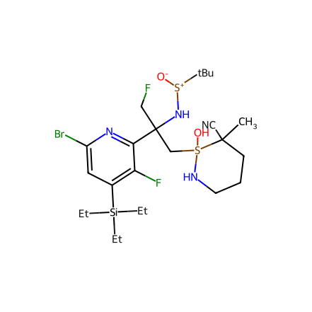 CC[Si](CC)(CC)c1cc(Br)nc(C(CF)(CS2(O)NCCCC2(C)C#N)N[S+]([O-])C(C)(C)C)c1F